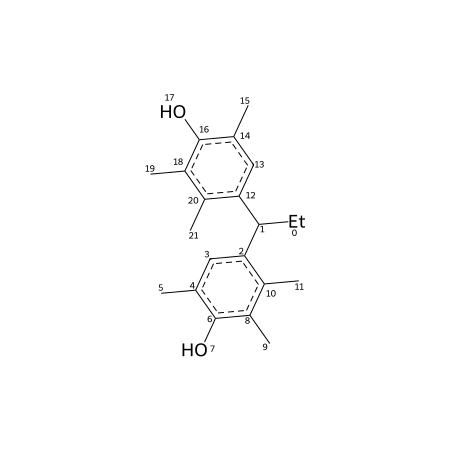 CCC(c1cc(C)c(O)c(C)c1C)c1cc(C)c(O)c(C)c1C